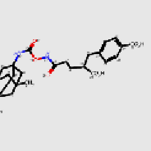 CC12CC3CC(C)(C1)CC(NC(=O)ONC(=O)CCC(Cc1ccc(C(=O)O)cc1)C(=O)O)(C3)C2